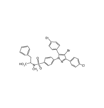 CCc1ccc(-c2c(Br)c(-c3ccc(Cl)cc3)nn2-c2ccc(S(=O)(=O)N(C)C(Cc3ccccc3)C(=O)O)cc2)cc1